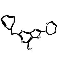 Nc1nc(Cc2ccccc2)nc2nc(C3CCCCO3)[nH]c12